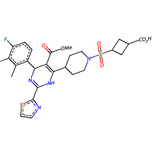 COC(=O)C1=C(C2CCN(S(=O)(=O)C3CC(C(=O)O)C3)CC2)NC(c2nccs2)=NC1c1ccc(F)c(F)c1C